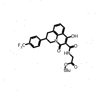 CC(C)(C)OC(=O)CNC(=O)c1c(O)c2cccc3c2n(c1=O)CC(c1ccc(C(F)(F)F)cc1)C3